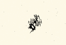 Cc1cc(NC(=N)NC(=N)N)ccc1F